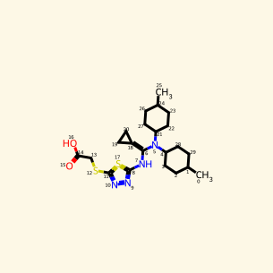 CC1CCC(N(C(Nc2nnc(SCC(=O)O)s2)=C2CC2)C2CCC(C)CC2)CC1